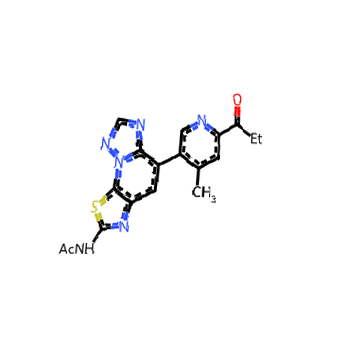 CCC(=O)c1cc(C)c(-c2cc3nc(NC(C)=O)sc3n3ncnc23)cn1